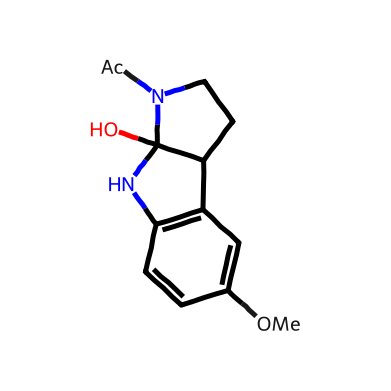 COc1ccc2c(c1)C1CCN(C(C)=O)C1(O)N2